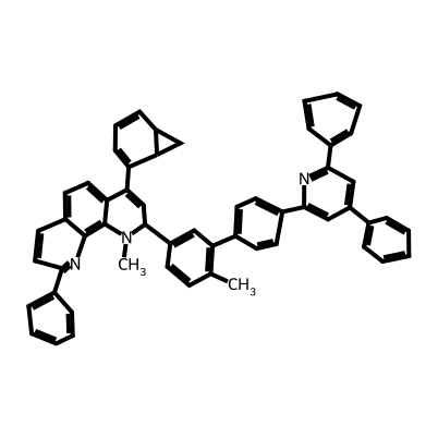 Cc1ccc(C2C=C(C3=CC=CC4CC34)c3ccc4ccc(-c5ccccc5)nc4c3N2C)cc1-c1ccc(-c2cc(-c3ccccc3)cc(-c3ccccc3)n2)cc1